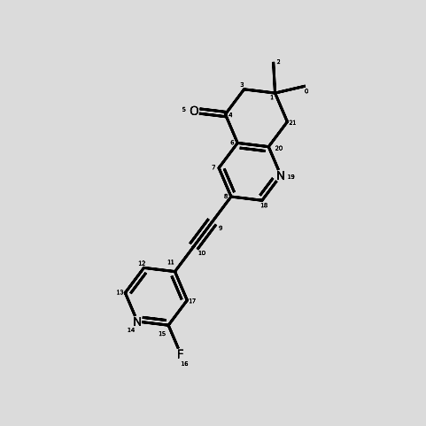 CC1(C)CC(=O)c2cc(C#Cc3ccnc(F)c3)cnc2C1